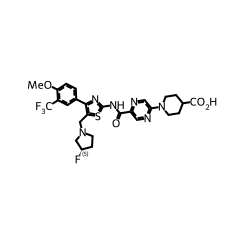 COc1ccc(-c2nc(NC(=O)c3cnc(N4CCC(C(=O)O)CC4)cn3)sc2CN2CC[C@H](F)C2)cc1C(F)(F)F